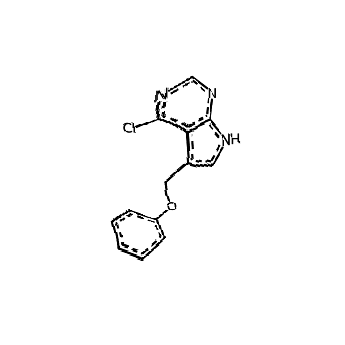 Clc1ncnc2[nH]cc(COc3ccccc3)c12